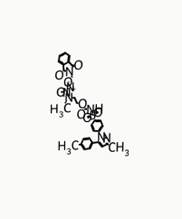 CCN(CCOC(=O)NS(=O)(=O)c1ccc(-n2nc(C)cc2-c2ccc(C)cc2)cc1)/[N+]([O-])=N/OCN1C(=O)c2ccccc2C1=O